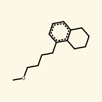 COCCCCc1cccc2c1CCCC2